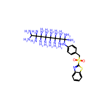 NC(N)C(N)(N)C(N)(N)C(N)(N)C(N)(N)C(N)(N)C(N)(N)C(N)(N)Nc1ccc(CS(=O)(=O)c2nc3ccccc3s2)cc1